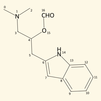 CN(C)CC(Cc1cc2ccccc2[nH]1)OC=O